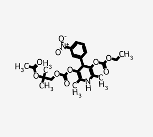 CCOC(=O)OC1=C(C)NC(C)=C(OC(=O)OCC(C)(C)OC(C)=O)C1c1cccc([N+](=O)[O-])c1